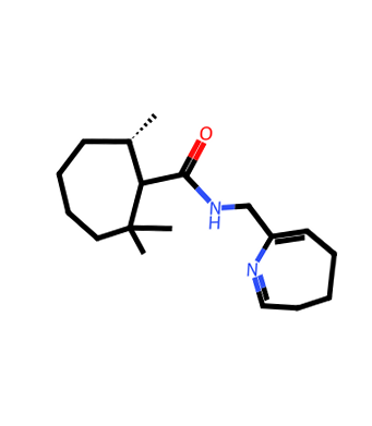 C[C@H]1CCCCC(C)(C)C1C(=O)NCC1=CCCCC=N1